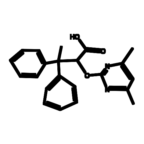 Cc1cc(C)nc(OC(C(=O)O)C(C)(c2ccccc2)c2ccccc2)n1